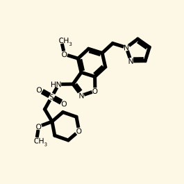 COc1cc(Cn2cccn2)cc2onc(NS(=O)(=O)CC3(OC)CCOCC3)c12